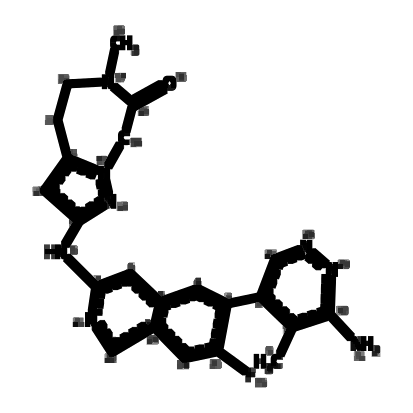 Cc1c(-c2cc3cc(Nc4cc5n(n4)CC(=O)N(C)CC5)ncc3cc2F)cnnc1N